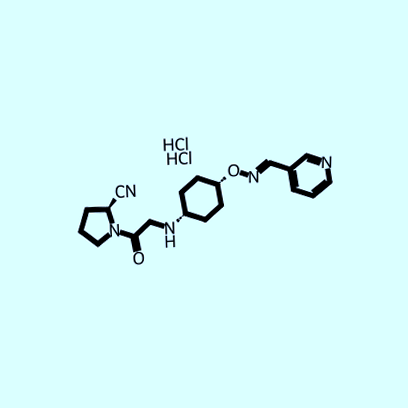 Cl.Cl.N#C[C@@H]1CCCN1C(=O)CN[C@H]1CC[C@@H](ON=Cc2cccnc2)CC1